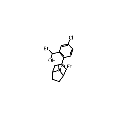 CCOC(=O)N1C2CCC1CC(c1ccc(Cl)cc1C(O)CC)C2